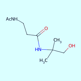 CC(=O)NCCC(=O)NC(C)(C)CO